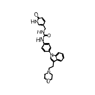 O=C(NCc1ccc(=O)[nH]c1)Nc1ccc(-n2cc(CCN3CCOCC3)c3ccccc32)cc1